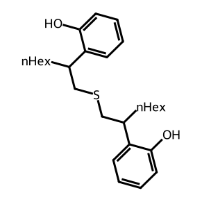 CCCCCCC(CSCC(CCCCCC)c1ccccc1O)c1ccccc1O